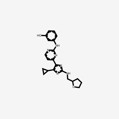 Oc1cccc(Nc2nccc(-c3sc(NCC4CCCO4)nc3C3CC3)n2)c1